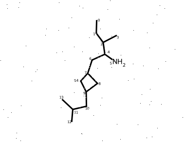 CCC(C)C(N)CC1CC(CC(C)C)C1